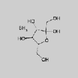 B.OC[C@H]1OC(O)(CO)[C@@H](O)[C@@H]1O